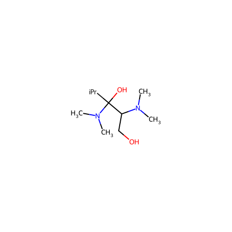 CC(C)C(O)(C(CO)N(C)C)N(C)C